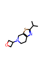 CC(C)c1nc2c(s1)CN(C1COC1)CC2